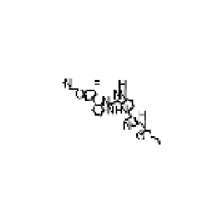 CCCCC(=O)Nc1cncc(-c2ccc3[nH]nc(-c4nc5c(-c6cc(F)cc(OCCN(C)C)c6)cccc5[nH]4)c3n2)c1